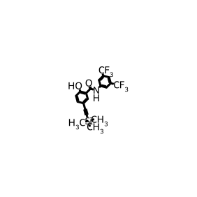 C[Si](C)(C)C#Cc1ccc(O)c(C(=O)Nc2cc(C(F)(F)F)cc(C(F)(F)F)c2)c1